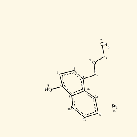 CCOCc1ccc(O)c2ncccc12.[Pt]